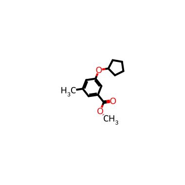 COC(=O)c1cc(C)cc(OC2CCCC2)c1